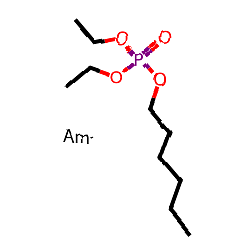 CCCCCCOP(=O)(OCC)OCC.[Am]